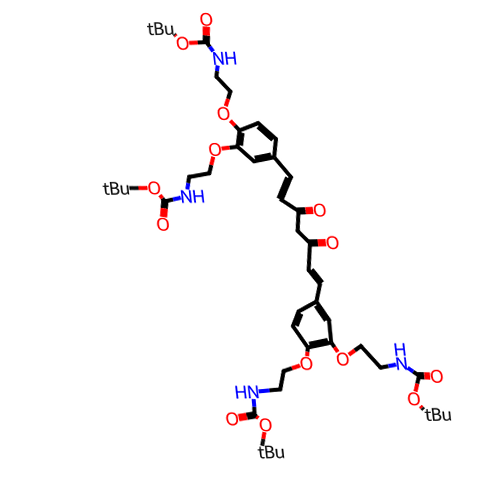 CC(C)(C)OC(=O)NCCOc1ccc(C=CC(=O)CC(=O)C=Cc2ccc(OCCNC(=O)OC(C)(C)C)c(OCCNC(=O)OC(C)(C)C)c2)cc1OCCNC(=O)OC(C)(C)C